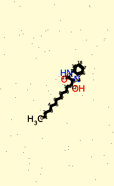 CCCCCCCCCCCC(O)c1nc2ccccc2[nH]c1=O